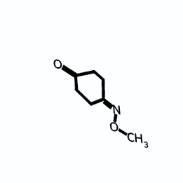 CON=C1CCC(=O)CC1